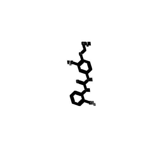 Cc1ccccc1NC(=O)Nc1ccc(OCC(=O)O)c(C(F)(F)F)c1